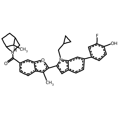 Cc1c(-c2cc3ccc(-c4ccc(O)c(F)c4)cc3n2CC2CC2)oc2cc(C(=O)N3CC4CCC3[C@@H]4C)ccc12